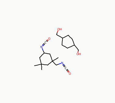 CC1(C)CC(N=C=O)CC(C)(CN=C=O)C1.OCC1CCC(CO)CC1